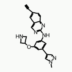 C#Cc1ccc2nc(Nc3cc(OC4CNC4)cc(-c4cnn(C)c4)c3)ncc2c1